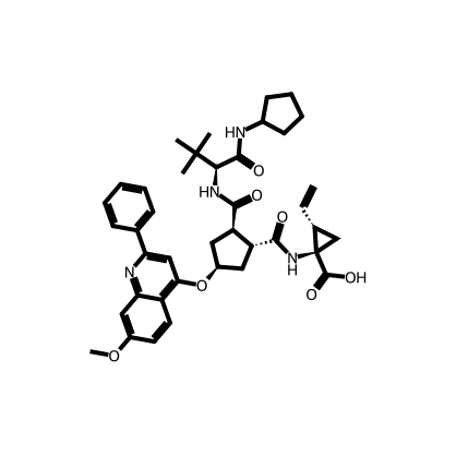 C=C[C@@H]1C[C@]1(NC(=O)[C@@H]1C[C@@H](Oc2cc(-c3ccccc3)nc3cc(OC)ccc23)C[C@H]1C(=O)N[C@H](C(=O)NC1CCCC1)C(C)(C)C)C(=O)O